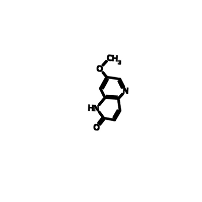 COc1cnc2ccc(=O)[nH]c2c1